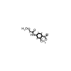 COCC(=O)Nc1ccc([N+](=O)[O-])c(C)c1